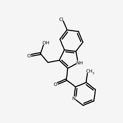 Cc1cccnc1C(=O)c1[nH]c2ccc(Cl)cc2c1CC(=O)O